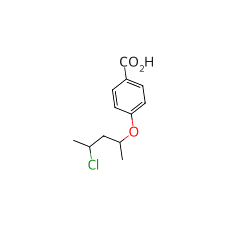 CC(Cl)CC(C)Oc1ccc(C(=O)O)cc1